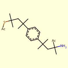 CC(=O)SC(C)(C)CC(C)(C)c1ccc(C(C)(C)CC(C)(N)C(C)=O)cc1